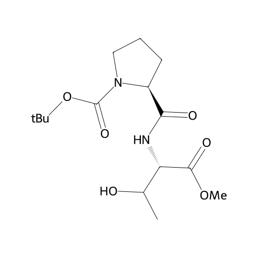 COC(=O)[C@@H](NC(=O)[C@@H]1CCCN1C(=O)OC(C)(C)C)C(C)O